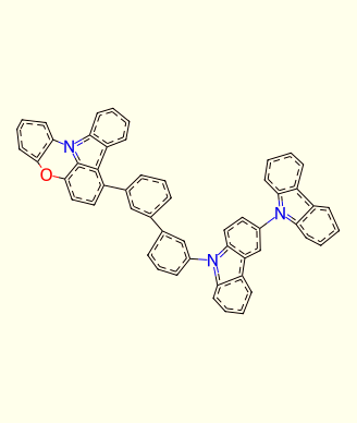 c1cc(-c2cccc(-n3c4ccccc4c4cc(-n5c6ccccc6c6ccccc65)ccc43)c2)cc(-c2ccc3c4c2c2ccccc2n4-c2ccccc2O3)c1